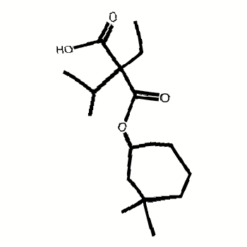 CCC(C(=O)O)(C(=O)OC1CCCC(C)(C)C1)C(C)C